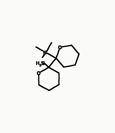 C[Si](C)(C)C1(C2([SiH3])CCCCO2)CCCCO1